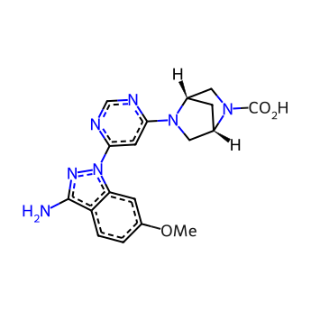 COc1ccc2c(N)nn(-c3cc(N4C[C@@H]5C[C@H]4CN5C(=O)O)ncn3)c2c1